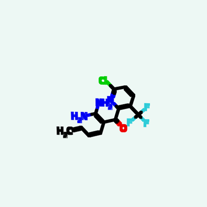 C=C/C=C\C(C(=O)c1nc(Cl)ccc1C(F)(F)F)=C(N)N